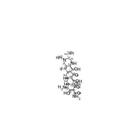 CCCN1Cc2c(F)c3c(c(O)c2NC[C@H]1CC(C)C)C(=O)C1=C(O)[C@]2(O)C(=O)C(C(N)=O)=C(O)[C@@H](N)[C@@H]2C[C@@H]1C3